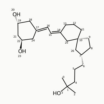 CC(C)(O)CCC[C@H]1CC[C@]2(CCC/C(=C\C=C3C[C@@H](O)C[C@H](O)C3)C2)C1